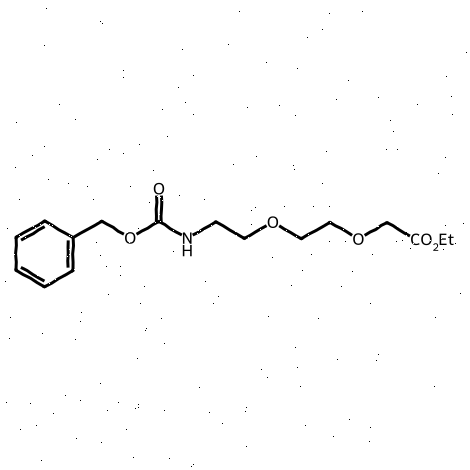 CCOC(=O)COCCOCCNC(=O)OCc1ccccc1